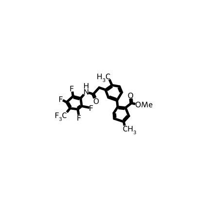 COC(=O)c1cc(C)ccc1-c1ccc(C)c(CC(=O)Nc2c(F)c(F)c(C(F)(F)F)c(F)c2F)c1